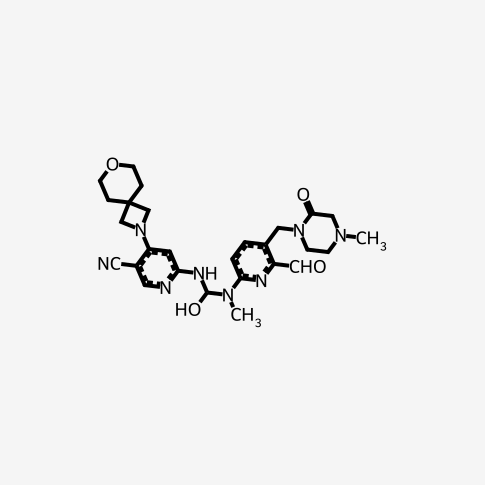 CN1CCN(Cc2ccc(N(C)C(O)Nc3cc(N4CC5(CCOCC5)C4)c(C#N)cn3)nc2C=O)C(=O)C1